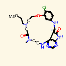 COCCN1CCOc2cc(ccc2Cl)N/C=C2\C(=O)Nc3ncnc(c32)NCCN(C)C(=O)C1